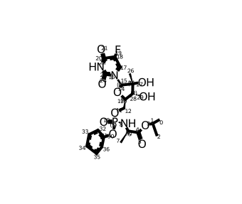 CC(C)OC(=O)[C@@H](C)N[P@](=O)(OC[C@H]1O[C@@H](n2cc(F)c(=O)[nH]c2=O)[C@](C)(O)[C@@H]1O)Oc1ccccc1